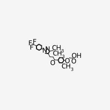 Cc1cc(C(=O)CCc2cn(-c3ccc(C(F)(F)F)cc3)nc2C(C)C)ccc1OCC(=O)O